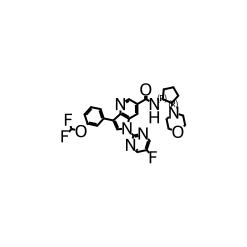 O=C(N[C@@H]1CCC[C@H]1N1CCOCC1)c1cnc2c(-c3cccc(OC(F)F)c3)cn(-c3ncc(F)cn3)c2c1